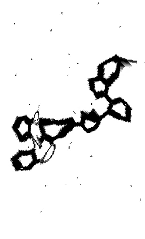 c1ccc2c(c1)Oc1cc(-c3ccc(-c4ccccc4-c4cccc5ccccc45)cc3)cc3c1N2c1ccccc1O3